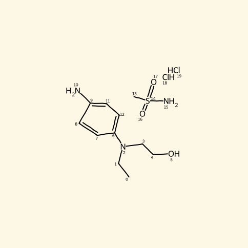 CCN(CCO)c1ccc(N)cc1.CS(N)(=O)=O.Cl.Cl